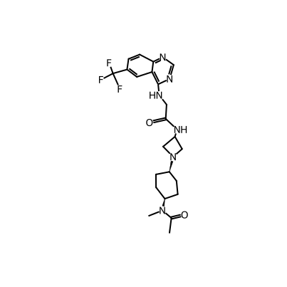 CC(=O)N(C)[C@H]1CC[C@@H](N2CC(NC(=O)CNc3ncnc4ccc(C(F)(F)F)cc34)C2)CC1